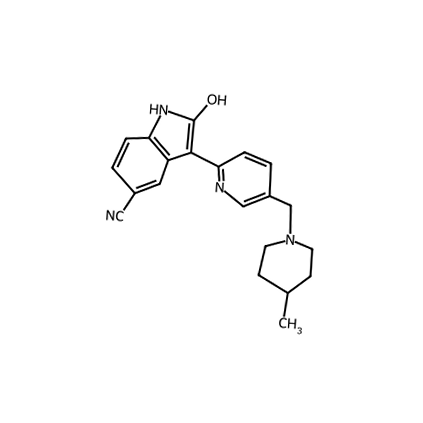 CC1CCN(Cc2ccc(-c3c(O)[nH]c4ccc(C#N)cc34)nc2)CC1